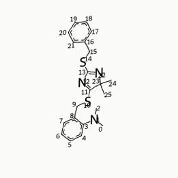 CN(C)c1ccccc1CSC1=NC(SCc2ccccc2)=NC1(C)C